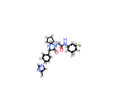 Cc1cn(-c2ccc(C3=NC4(CCCC4)N(CC(=O)Nc4cc(F)cc(F)c4)C3=O)cc2)cn1